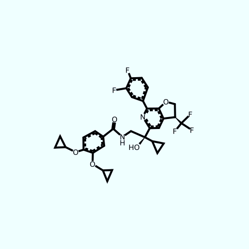 O=C(NC[C@](O)(c1cc2c(c(-c3ccc(F)c(F)c3)n1)OC[C@H]2C(F)(F)F)C1CC1)c1ccc(OC2CC2)c(OC2CC2)c1